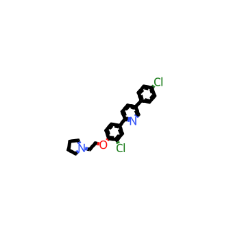 Clc1ccc(-c2ccc(-c3ccc(OCCN4CCCC4)c(Cl)c3)nc2)cc1